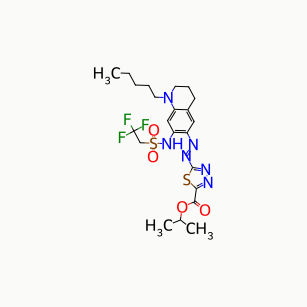 CCCCCN1CCCc2cc(N=Nc3nnc(C(=O)OC(C)C)s3)c(NS(=O)(=O)CC(F)(F)F)cc21